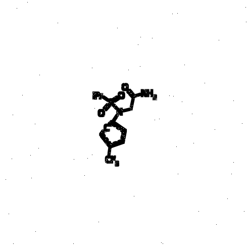 CC(C)S(=O)(=O)N(CC(N)=O)c1ccc(C(F)(F)F)cc1